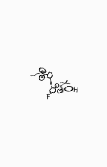 CCCS(=O)(=O)c1cccc(C#Cc2cc(F)ccc2OC(C(=O)O)C(C)(C)C)c1